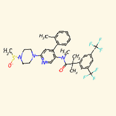 Cc1ccccc1-c1cc(N2CCN([S+](C)[O-])CC2)ncc1N(C)C(=O)C(C)(C)c1cc(C(F)(F)F)cc(C(F)(F)F)c1